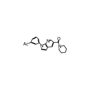 CC(=O)c1cccc(-n2ccc3cc(C(=O)N4CCCCC4)cnc32)c1